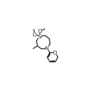 CO[Si]1(OC)CCCN(C2=CC=CCO2)CC(C)C1